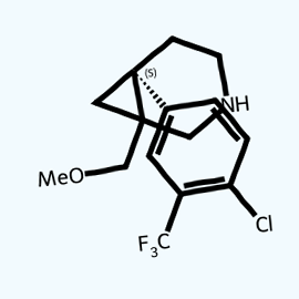 COCC12CNCC[C@]1(c1ccc(Cl)c(C(F)(F)F)c1)C2